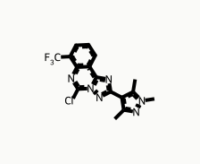 Cc1nn(C)c(C)c1-c1nc2c3cccc(C(F)(F)F)c3nc(Cl)n2n1